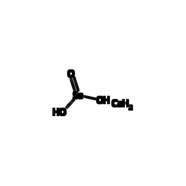 O=[Se](O)O.[CaH2]